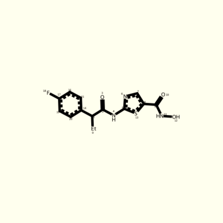 CCC(C(=O)Nc1ncc(C(=O)NO)s1)c1ccc(F)cc1